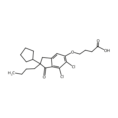 CCCCC1(C2CCCC2)Cc2cc(OCCCC(=O)O)c(Cl)c(Cl)c2C1=O